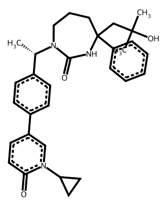 C[C@@H](c1ccc(-c2ccc(=O)n(C3CC3)c2)cc1)N1CCCC(CC(C)(C)O)(c2ccccc2)NC1=O